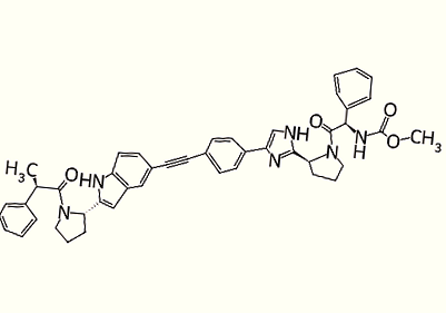 COC(=O)N[C@@H](C(=O)N1CCC[C@H]1c1nc(-c2ccc(C#Cc3ccc4[nH]c([C@@H]5CCCN5C(=O)[C@H](C)c5ccccc5)cc4c3)cc2)c[nH]1)c1ccccc1